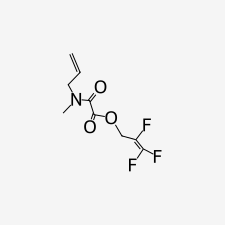 C=CCN(C)C(=O)C(=O)OCC(F)=C(F)F